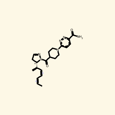 C=C(/C=C\C=C/C)[C@@H]1CC=NN1C(=O)C1CCN(c2ccc(C(N)=O)nn2)CC1